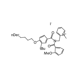 CCCCCCCCCCCCCCOc1ccc(C(=O)N(Cc2cccc[n+]2C)C(=O)c2ccccc2OC)cc1C(C)(C)C.[I-]